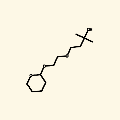 CC(C)(O)CCOCCOC1CCCCO1